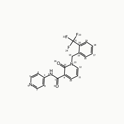 O=C(Nc1ccncc1)c1cccn(Cc2ccccc2C(F)(F)F)c1=O